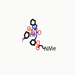 CNCCC(=O)Oc1ccccc1CNC(=O)[C@@H]1Cc2ccccc2N1S(=O)(=O)c1ccc(I)cc1